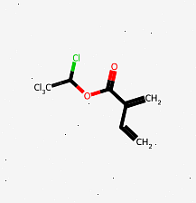 C=CC(=C)C(=O)OC(Cl)C(Cl)(Cl)Cl